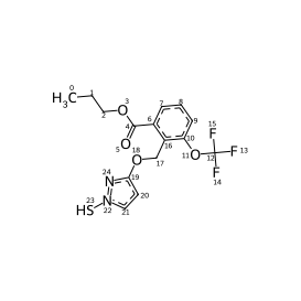 CCCOC(=O)c1cccc(OC(F)(F)F)c1COc1ccn(S)n1